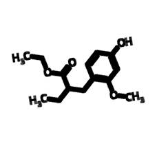 CCOC(=O)C(CC)Cc1ccc(O)cc1OC